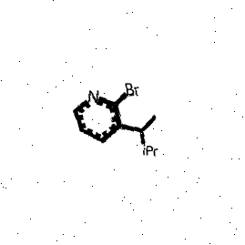 CC(C)C(C)c1cccnc1Br